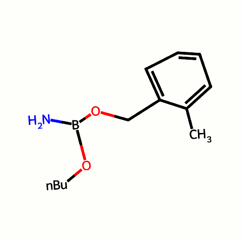 CCCCOB(N)OCc1ccccc1C